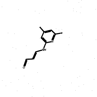 Cc1cc(C)nc(NC=CC=O)c1